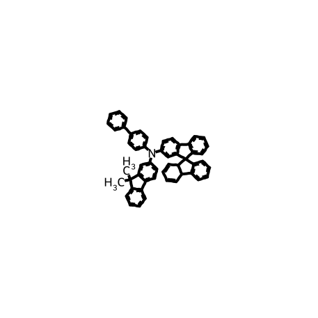 CC1(C)c2ccccc2-c2ccc(N(c3ccc(-c4ccccc4)cc3)c3ccc4c(c3)C3(c5ccccc5-4)c4ccccc4C4C=CC=CC43)cc21